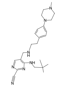 CN1CCN(c2ccc(CCNCc3cnc(C#N)nc3NCC(C)(C)C)cc2)CC1